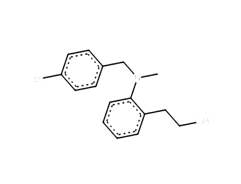 CN(Cc1ccc(Br)cc1)c1ccccc1CCO